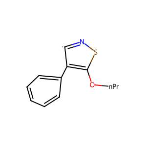 CCCOc1sn[c]c1-c1ccccc1